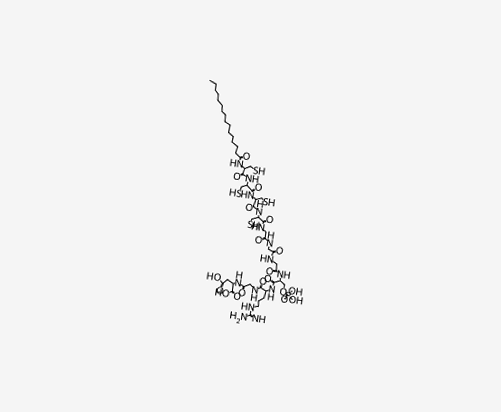 CCCCCCCCCCCCCCCC(=O)NC(CS)C(=O)NC(CS)C(=O)NC(CS)C(=O)NC(CS)C(=O)NCC(=O)NCC(=O)NCC(=O)NC(COP(=O)(O)O)C(=O)NC(CCCNC(=N)N)C(=O)NCC(=O)NC(CC(=O)O)C(=O)O